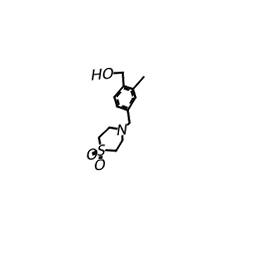 Cc1cc(CN2CCS(=O)(=O)CC2)ccc1CO